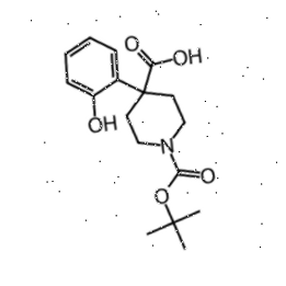 CC(C)(C)OC(=O)N1CCC(C(=O)O)(c2ccccc2O)CC1